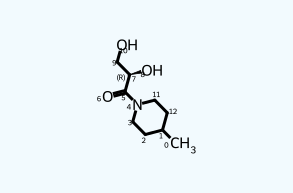 CC1CCN(C(=O)[C@H](O)CO)CC1